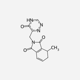 CC1CC=CC2=C1C(=O)N(Cc1nnc[nH]c1=O)C2=O